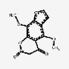 COc1c2c(c(OC)c3occc13)O[N+](=O)CC2=O